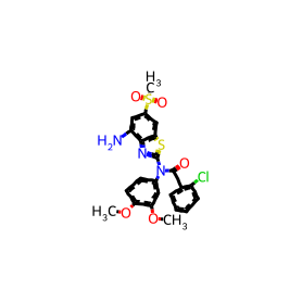 COc1ccc(N(C(=O)c2ccccc2Cl)c2nc3c(N)cc(S(C)(=O)=O)cc3s2)cc1OC